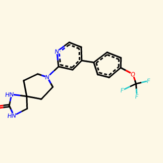 O=C1NCC2(CCN(c3cc(-c4ccc(OC(F)(F)F)cc4)ccn3)CC2)N1